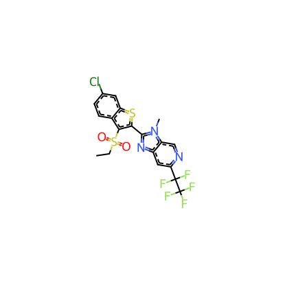 CCS(=O)(=O)c1c(-c2nc3cc(C(F)(F)C(F)(F)F)ncc3n2C)sc2cc(Cl)ccc12